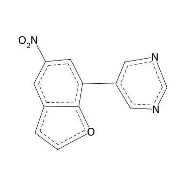 O=[N+]([O-])c1cc(-c2cncnc2)c2occc2c1